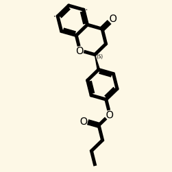 CCCC(=O)Oc1ccc([C@@H]2CC(=O)c3[c]c[c]cc3O2)cc1